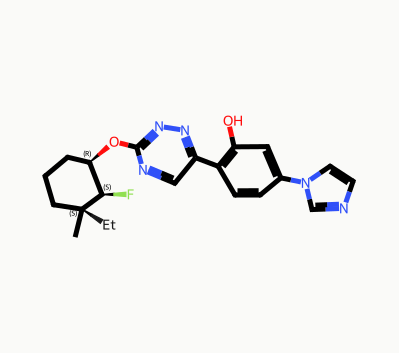 CC[C@@]1(C)CCC[C@@H](Oc2ncc(-c3ccc(-n4ccnc4)cc3O)nn2)[C@H]1F